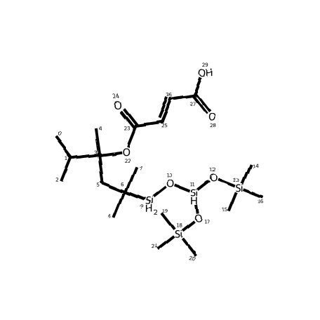 CC(C)C(C)(CC(C)(C)[SiH2]O[SiH](O[Si](C)(C)C)O[Si](C)(C)C)OC(=O)C=CC(=O)O